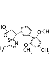 COc1cc(C)cc(OC)c1-c1cccc(C(CC(=O)O)c2ncc(C)s2)c1